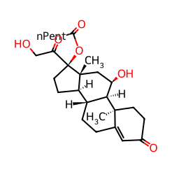 CCCCCC(=O)O[C@]1(C(=O)CO)CC[C@@H]2[C@H]3CCC4=CC(=O)CC[C@]4(C)[C@@H]3[C@H](O)C[C@]21C